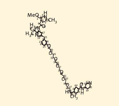 COC[C@H]1CN[C@H](C)CN1CC(=O)N1CC(C)(C)c2ncc(Cc3cccc(OCCOCCOCCOCCOCCOCCOCCN[C@H](C)c4ccc(C(=O)Nc5ccncc5)cc4)c3)cc21